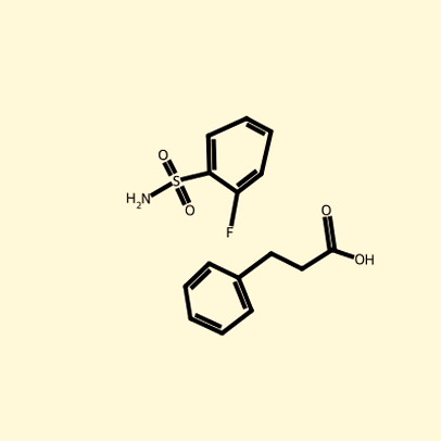 NS(=O)(=O)c1ccccc1F.O=C(O)CCc1ccccc1